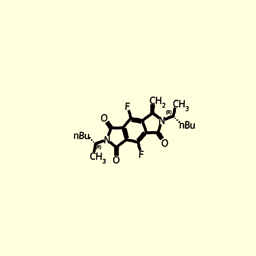 C=C1c2c(F)c3c(c(F)c2C(=O)N1[C@H](C)CCCC)C(=O)N([C@H](C)CCCC)C3=O